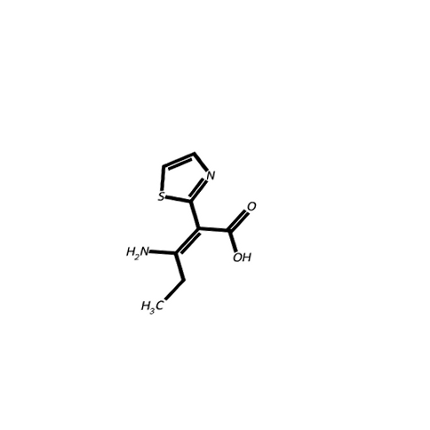 CCC(N)=C(C(=O)O)c1nccs1